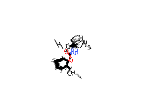 CCc1ccccc1OC(=O)NC(C)(C)C